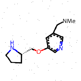 CNCc1cncc(OC[C@@H]2CCCN2)c1